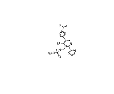 CCC1=C(c2ccn(C(F)F)n2)CN=C(c2nccs2)N1CNC(=O)OC